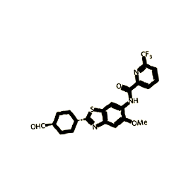 COc1cc2nc([C@H]3CC[C@H](C=O)CC3)sc2cc1NC(=O)c1cccc(C(F)(F)F)n1